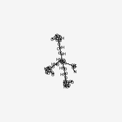 CC(=O)NC1C(OCCOCCNC(=O)CCCC(=O)NCCCCC(NC(=O)CCCC(=O)NCCOCCOC2OC(COC(C)=O)C(OC(C)=O)C(OC(C)=O)C2NC(C)=O)C(=O)NC(CCCCNC(=O)CCCC(=O)NCCOCCOC2OC(COC(C)=O)C(OC(C)=O)C(OC(C)=O)C2NC(C)=O)C(=O)NCCCCCCOP(OCCC#N)N(C(C)C)C(C)C)OC(COC(C)=O)C(OC(C)=O)C1OC(C)=O